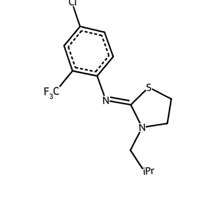 CC(C)CN1CCS/C1=N\c1ccc(Cl)cc1C(F)(F)F